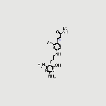 CCNC(=O)/C=C/c1ccc(NCCCc2c(N)nc(N)nc2O)cc1C(C)=O